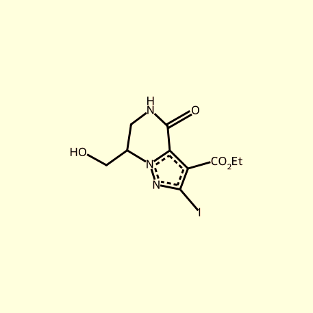 CCOC(=O)c1c(I)nn2c1C(=O)NCC2CO